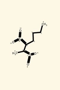 CCCCC(C(C)=S(=O)=O)=S(=O)=O